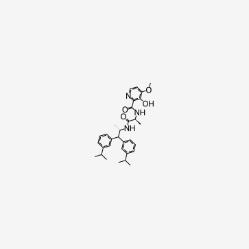 COc1ccnc(C(=O)N[C@@H](C)C(=O)N[C@@H](C)C(c2cccc(C(C)C)c2)c2cccc(C(C)C)c2)c1O